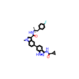 C[C@@H](Cc1ccc(F)cc1)NC(=O)c1cn(C)c2ccc(-c3ccc4c(NC(=O)C5CC5)n[nH]c4c3)cc12